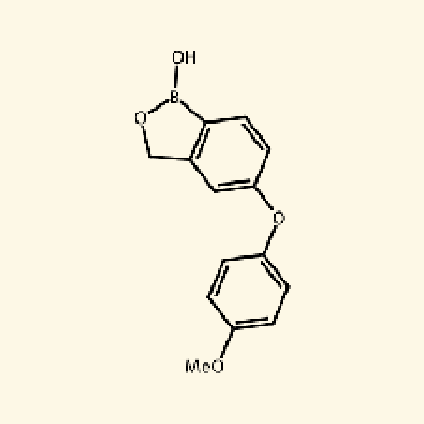 COc1ccc(Oc2ccc3c(c2)COB3O)cc1